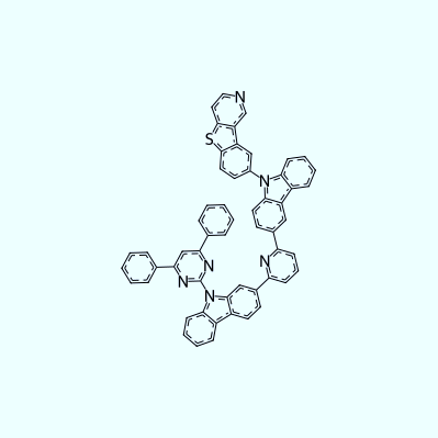 c1ccc(-c2cc(-c3ccccc3)nc(-n3c4ccccc4c4ccc(-c5cccc(-c6ccc7c(c6)c6ccccc6n7-c6ccc7sc8ccncc8c7c6)n5)cc43)n2)cc1